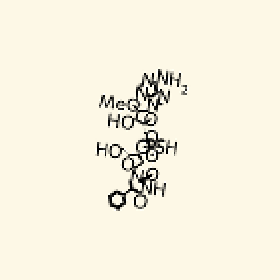 COC1C(O)[C@@H](COP(=O)(S)OC2C[C@H](n3cc(-c4ccccc4)c(=O)[nH]c3=O)O[C@@H]2CO)O[C@H]1n1cnc2c(N)ncnc21